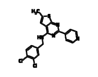 Cc1cc2c(NCc3ccc(Cl)c(Cl)c3)nc(-c3ccncc3)nc2s1